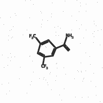 C=C(N)c1cc(C(F)(F)F)cc(C(F)(F)F)c1